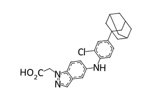 O=C(O)Cn1ncc2cc(Nc3ccc(C45CC6CC(CC(C6)C4)C5)cc3Cl)ccc21